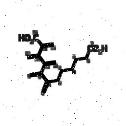 C=C(CCCCCC(=O)O)C(=C)C(=C)C(=C)C(=C)C(=O)O